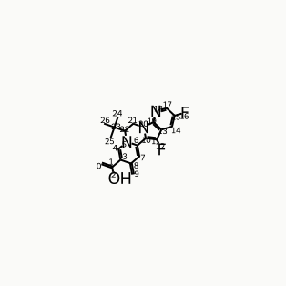 C=C(O)C1=CN2C(=CC1=C)c1c(F)c3cc(F)cnc3n1CC2C(C)(C)C